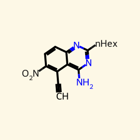 C#Cc1c([N+](=O)[O-])ccc2nc(CCCCCC)nc(N)c12